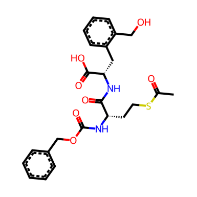 CC(=O)SCC[C@H](NC(=O)OCc1ccccc1)C(=O)N[C@@H](Cc1ccccc1CO)C(=O)O